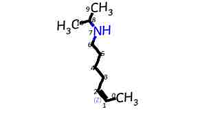 C/C=C\CCCCNC(C)C